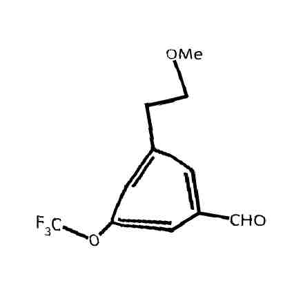 COCCc1cc(C=O)cc(OC(F)(F)F)c1